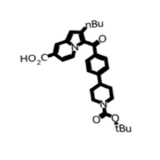 CCCCc1cc2cc(C(=O)O)ccn2c1C(=O)c1ccc(C2CCN(C(=O)OC(C)(C)C)CC2)cc1